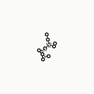 c1ccc(-c2ccc(-c3nc(-c4ccc(-n5c6ccccc6c6cc7c8ccccc8n(-c8ccccc8)c7cc65)nc4)nc(-c4cccc5ccccc45)n3)cc2)cc1